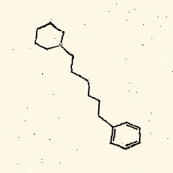 [CH]1CCN(CCCCCCc2ccccc2)CC1